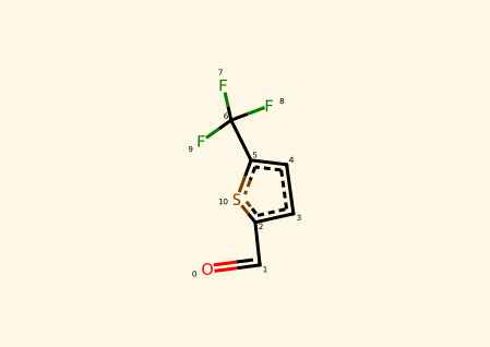 O=Cc1ccc(C(F)(F)F)s1